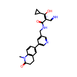 CN1C(=O)CCc2cc(-c3cncc(CNC(=O)/C(C=N)=C(/O)C4CC4)c3)ccc21